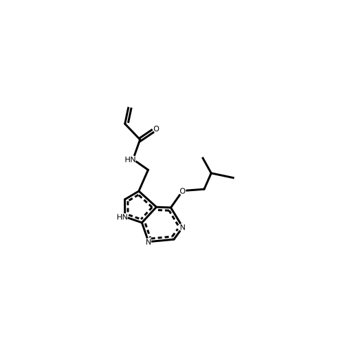 C=CC(=O)NCc1c[nH]c2ncnc(OCC(C)C)c12